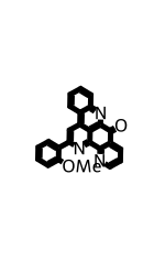 COc1ccccc1-c1cc2c3c(nc4ccccc42)C(=O)c2cccnc2-c3n1